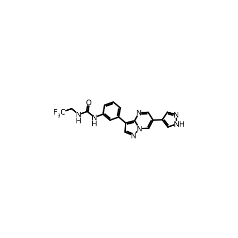 O=C(NCC(F)(F)F)Nc1cccc(-c2cnn3cc(-c4cn[nH]c4)cnc23)c1